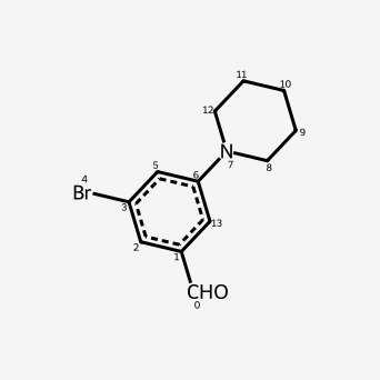 O=Cc1cc(Br)cc(N2CCCCC2)c1